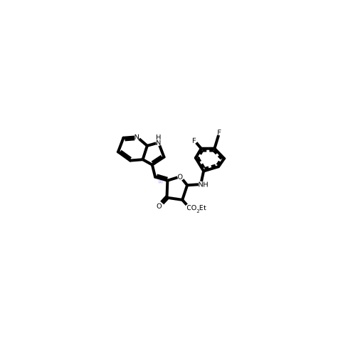 CCOC(=O)C1C(=O)/C(=C/C2=CNC3N=CC=CC23)OC1Nc1ccc(F)c(F)c1